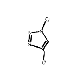 Clc1[c]n(Cl)nn1